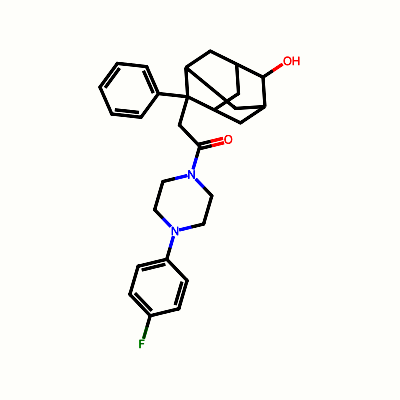 O=C(CC1(c2ccccc2)C2CC3CC1CC(C2)C3O)N1CCN(c2ccc(F)cc2)CC1